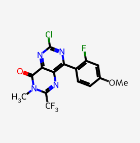 COc1ccc(-c2nc(Cl)nc3c(=O)n(C)c(C(F)(F)F)nc23)c(F)c1